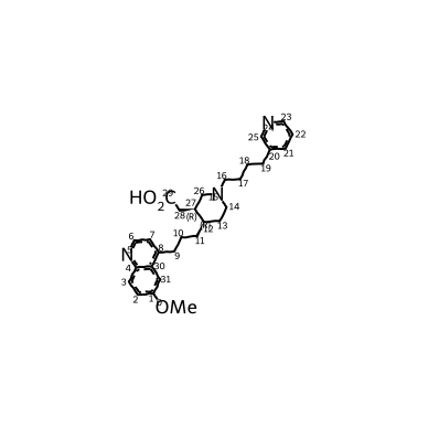 COc1ccc2nccc(CCC[C@@H]3CCN(CCCCc4cccnc4)C[C@@H]3CC(=O)O)c2c1